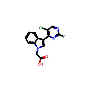 O=C(O)Cn1cc(-c2nc(Cl)ncc2Cl)c2ccccc21